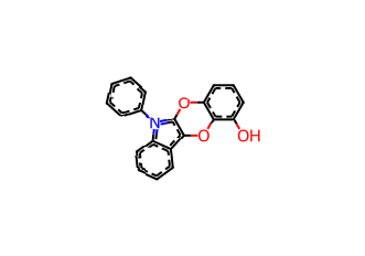 Oc1cccc2c1Oc1c(n(-c3ccccc3)c3ccccc13)O2